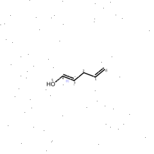 [CH]=CC/C=C/O